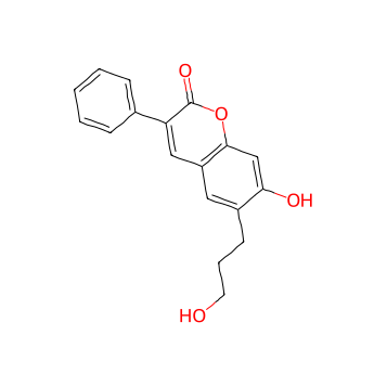 O=c1oc2cc(O)c(CCCO)cc2cc1-c1ccccc1